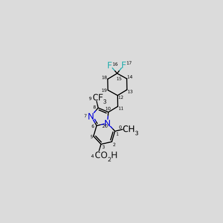 Cc1cc(C(=O)O)cc2nc(C(F)(F)F)c(CC3CCC(F)(F)CC3)n12